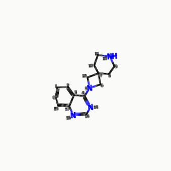 c1ccc2c(N3CC4(CCNCC4)C3)ncnc2c1